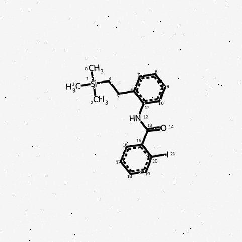 C[Si](C)(C)CCc1ccccc1NC(=O)c1ccccc1I